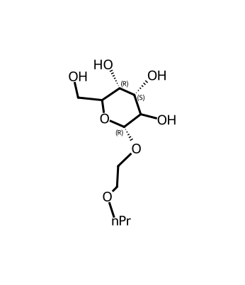 CCCOCCO[C@@H]1OC(CO)[C@H](O)[C@H](O)C1O